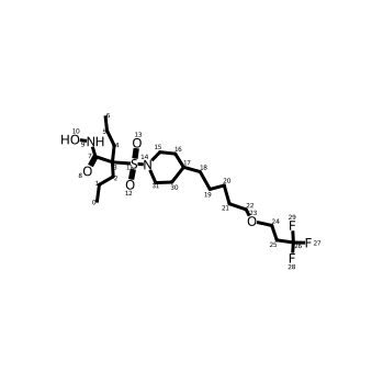 CCCC(CCC)(C(=O)NO)S(=O)(=O)N1CCC(CCCCCOCCC(F)(F)F)CC1